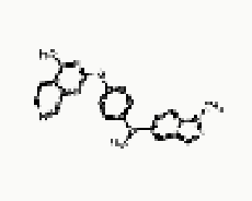 CN(c1ccc(Oc2nc(O)c3ccncc3n2)cc1)c1ccc2c(cnn2C)c1